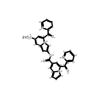 CCOC(=O)c1cc(C(=O)c2ccccn2)n2cc(OC(=O)c3cc(C(=O)c4ccccn4)n4cccc4c3)cc2c1